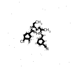 CCc1nc(-c2ccc(Cl)c(F)c2)nn1CC(C)NCc1cccc(C#N)c1